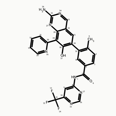 Cc1ccc(C(=O)Nc2cc(C(F)(F)F)ncn2)cc1-c1cc2cnc(N)nc2c(-c2ccccn2)c1O